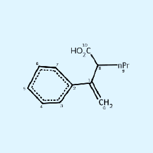 C=C(c1ccccc1)C(CCC)C(=O)O